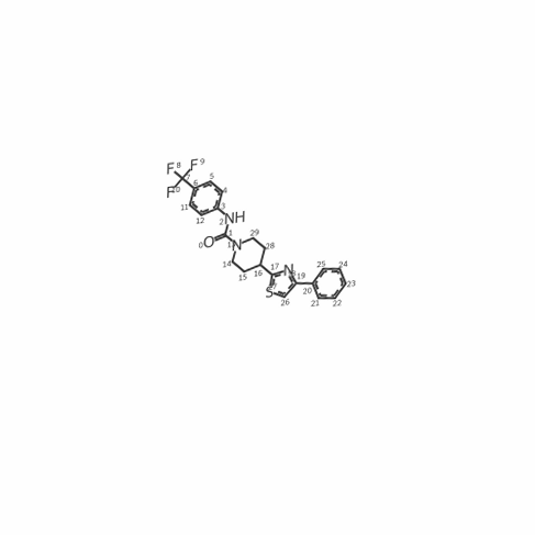 O=C(Nc1ccc(C(F)(F)F)cc1)N1CCC(c2nc(-c3ccccc3)cs2)CC1